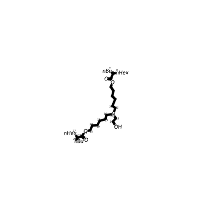 CCCCCCC(CCCC)C(=O)OCCCCCCN(CCO)CCCCCCOC(=O)C(CCCC)CCCCCC